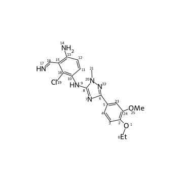 CCOc1ccc(-c2nc(Nc3ccc(N)c(C=N)c3Cl)n(C)n2)cc1OC